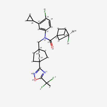 CC(F)(F)c1nc(C23CCC(CN(C(=O)C45CC(C4)[C@@H](F)C5)c4ccc(F)c(C5CC5)c4)(CC2)CC3)no1